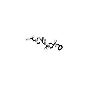 O=C(O)CN1CCN(C(=O)CNC(=O)N2CCN(C(=O)OCc3ccccc3)CC2)CC1